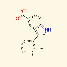 Cc1cccc(-c2c[nH]c3ccc(C(=O)O)cc23)c1C